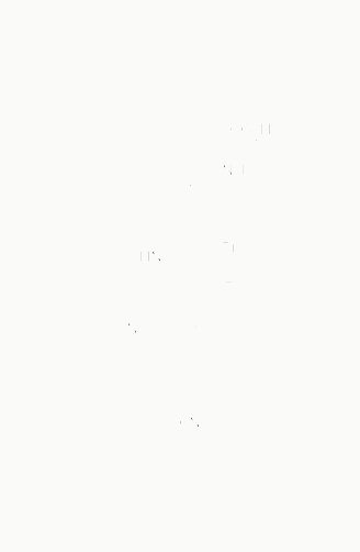 CCC(Nc1nc(Cl)c(C#N)cc1F)C1(NC(=O)O)CC1